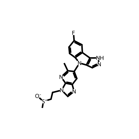 Cc1nc2c(cc1-n1c3ccc(F)cc3c3[nH]ncc31)ncn2CC[S+](C)[O-]